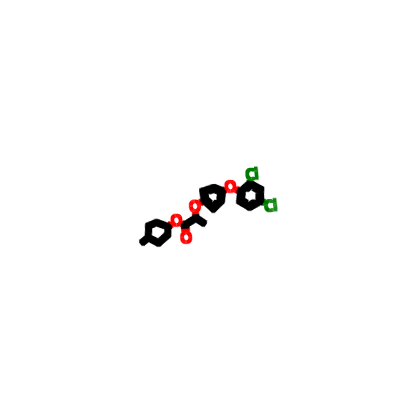 CC1CCC(OC(=O)C(C)Oc2ccc(Oc3ccc(Cl)cc3Cl)cc2)CC1